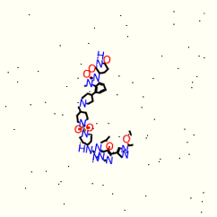 CCOC(C)n1cc(-c2ncn3nc(NC4CCN(S(=O)(=O)N5CCC(CN6CCC(c7cccc8c7n(C)c(=O)n8[C@H]7CCC(=O)NC7=O)CC6)CC5)CC4)nc3c2OC(C)C)cn1